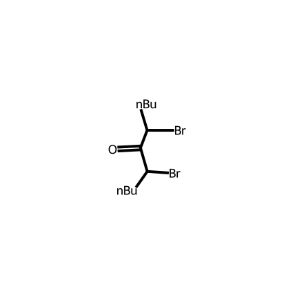 CCCCC(Br)C(=O)C(Br)CCCC